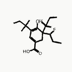 CCC(F)C1(C(C)(C)CC)CC(C(=O)O)=CC(C(C)(C)CC)=C1O